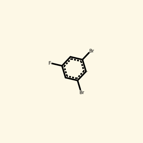 Fc1cc(Br)[c]c(Br)c1